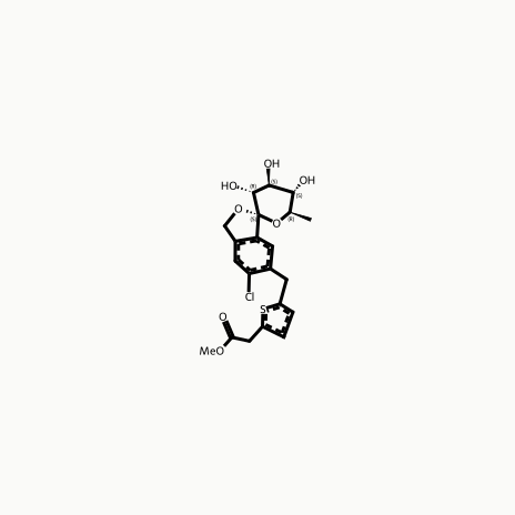 COC(=O)Cc1ccc(Cc2cc3c(cc2Cl)CO[C@]32O[C@H](C)[C@@H](O)[C@H](O)[C@H]2O)s1